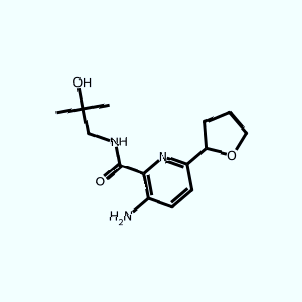 CC(C)(O)CNC(=O)c1nc(C2CCCO2)ccc1N